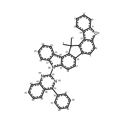 CC1(C)c2c(ccc3oc4ccccc4c23)-c2ccc3c(c21)c1ccccc1n3-c1nc(-c2ccccc2)c2ccccc2n1